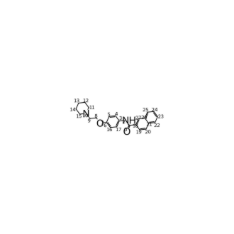 O=C(Nc1ccc(OCCN2CCCCC2)cc1)c1ccc2ccccc2c1